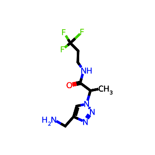 CC(C(=O)NCCC(F)(F)F)n1cc(CN)nn1